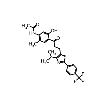 CC(=O)Nc1cc(O)c(C(=O)CCc2sc(-c3ccc(C(F)(F)F)cc3)nc2C(C)C)cc1C